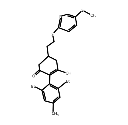 CCc1cc(C)cc(CC)c1C1=C(O)CC(CCSc2ccc(SC(F)(F)F)cn2)CC1=O